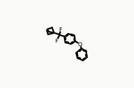 FC(F)(c1ccc(Oc2ccccc2)cc1)C12CC(C1)C2